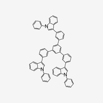 c1ccc(-n2cc(-c3cccc(-c4cc(-c5cccc(-c6cn(-c7ccccc7)c7ccccc67)c5)cc(-c5cccc(-c6cn(-c7ccccc7)c7ccccc67)c5)c4)c3)c3ccccc32)cc1